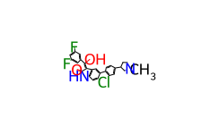 CN1CCC(c2ccc(-c3cc4c(cc3Cl)NC(=O)C4=C(O)c3cc(F)cc(F)c3)cc2)C1